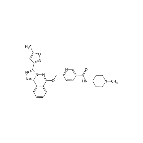 Cc1cc(-c2nnc3c4ccccc4c(OCc4ccc(C(=O)NC5CCN(C)CC5)cn4)nn23)no1